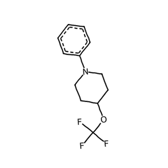 FC(F)(F)OC1CCN(c2ccccc2)CC1